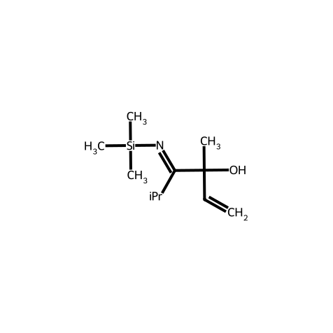 C=CC(C)(O)/C(=N/[Si](C)(C)C)C(C)C